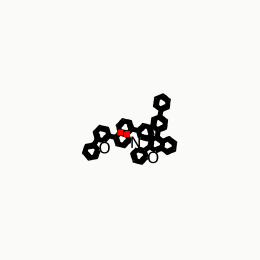 c1ccc(-c2ccc(-c3cc4c(oc5cccc(N(c6ccc(-c7cccc8c7oc7ccccc78)cc6)c6ccccc6-c6ccccc6)c54)c4ccccc34)cc2)cc1